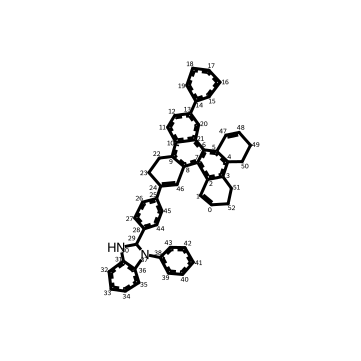 C1=Cc2c(c3c(c4c2c2c(c5ccc(-c6ccccc6)cc54)CCC(c4ccc(C5Nc6ccccc6N5c5ccccc5)cc4)=C2)C=CCC3)CC1